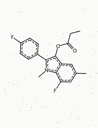 CCC(=O)Oc1c(-c2ccc(F)cc2)n(C)c2c(F)cc(C)cc12